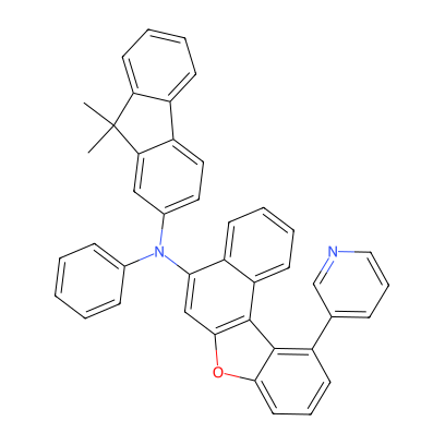 CC1(C)c2ccccc2-c2ccc(N(c3ccccc3)c3cc4oc5cccc(-c6cccnc6)c5c4c4ccccc34)cc21